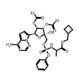 CCC(=O)O[C@@H]1[C@H](c2ccc3c(N)ncnn23)O[C@](C#N)(COP(=O)(NC(C)C(=O)OCC2CCC2)Oc2ccccc2)[C@H]1OC(=O)CC